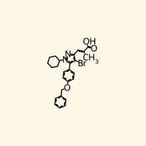 CC(=Cc1nn(C2CCCCC2)c(-c2ccc(OCc3ccccc3)cc2)c1Br)C(=O)O